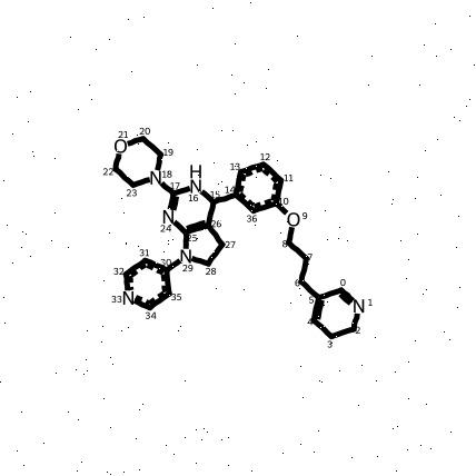 C1=NCCC=C1CCCOc1cccc(C2NC(N3CCOCC3)=NC3=C2CCN3c2ccncc2)c1